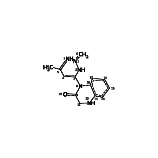 C=NN/C(=C\C(C)=N)N1C(=O)CNc2ccccc21